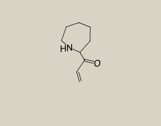 C=CC(=O)C1CCCCCN1